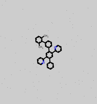 Cc1cccc(C)c1-c1cccc(-c2cc(-c3ccccn3)c(-c3ccccc3)cc2-c2ccccn2)c1